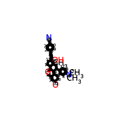 CN(C)c1ccc(C2CC3(C)C(CCC3(O)C#Cc3ccc(C#N)cc3)C3OCC4=CC(=O)CCC4=C23)cc1